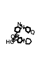 COc1ccc(-n2cnc3ccc(Br)cc32)cc1.OB(O)c1ccc(N2CCCCC2)cc1